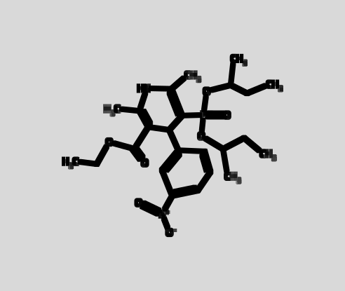 CCOC(=O)C1=C(C)NC(C)=C(P(=O)(OC(C)CC)OC(C)CC)C1c1cccc([N+](=O)[O-])c1